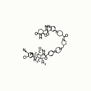 CC1(C)C(NC(=O)c2ccc(N3CCN(CC4CCN(C(=O)C5CCN(c6ccc7nnn(C8CCC(=O)NC8=O)c(=O)c7c6)CC5)CC4)CC3)cc2)C(C)(C)C1Oc1ccc(C#N)c(Cl)c1